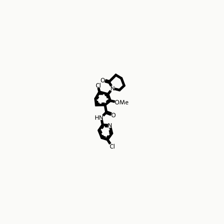 COc1c(C(=O)Nc2ccc(Cl)cn2)ccc(Cl)c1N1CCCCC1=O